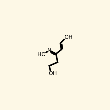 OC=CC(CCO)=NO